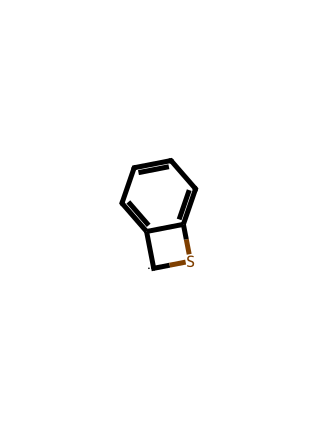 [CH]1Sc2ccccc21